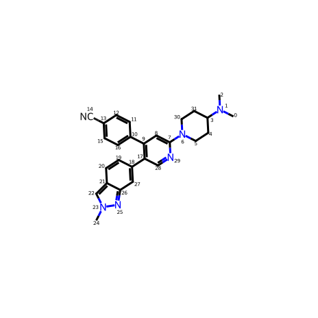 CN(C)C1CCN(c2cc(-c3ccc(C#N)cc3)c(-c3ccc4cn(C)nc4c3)cn2)CC1